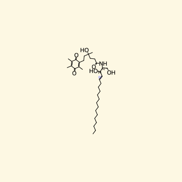 CCCCCCCCCCCCCC/C=C/[C@@H](O)[C@H](CO)NC(=O)CCC(C)(O)CCC1=C(C)C(=O)C(C)=C(C)C1=O